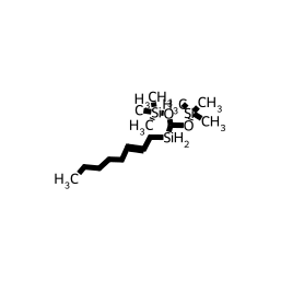 CCCCCC=CC[SiH2]C(O[Si](C)(C)C)O[Si](C)(C)C